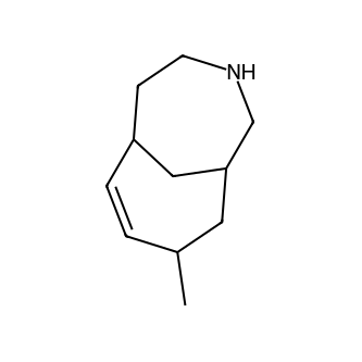 CC1C=CC2CCNCC(C1)C2